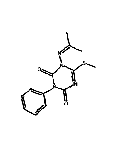 CSc1nc(=O)n(-c2ccccc2)c(=O)n1N=C(C)C